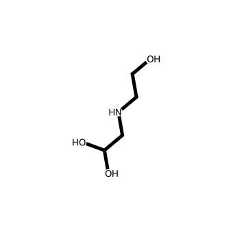 OCCNCC(O)O